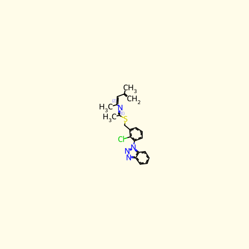 C=C(C)/C=C(C)\N=C(/C)SCc1cccc(-n2nnc3ccccc32)c1Cl